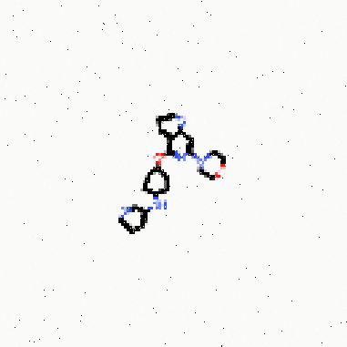 c1cncc(NC2CCC(Oc3nc(N4CCOCC4)cc4ncccc34)CC2)c1